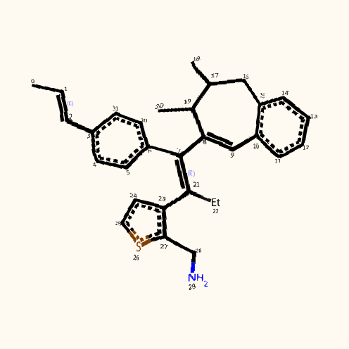 C/C=C/c1ccc(/C(C2=Cc3ccccc3CC(C)C2C)=C(/CC)c2ccsc2CN)cc1